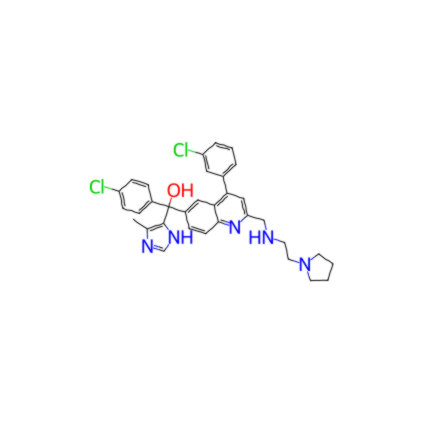 Cc1nc[nH]c1C(O)(c1ccc(Cl)cc1)c1ccc2nc(CNCCN3CCCC3)cc(-c3cccc(Cl)c3)c2c1